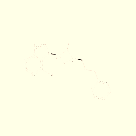 Nc1ncnc2ncn([C@@H]3C[C@H](COCc4ccccc4)C3F)c12